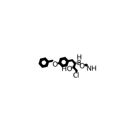 N=COB[C@@H](Cc1ccc(OCc2ccccc2)cc1)[C@@H](O)CCl